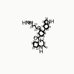 CC1CCN(C(=O)c2ccc(-c3ccc4[nH]ccc4c3)c(OCCCN=N)c2)c2ccccc2N1